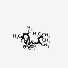 CC(CO[PH](O)(OCC(C)CC(C)(C)C)S(=O)(=O)O)CC(C)(C)C